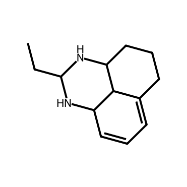 CCC1NC2C=CC=C3CCCC(N1)C32